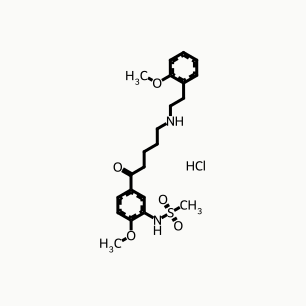 COc1ccccc1CCNCCCCC(=O)c1ccc(OC)c(NS(C)(=O)=O)c1.Cl